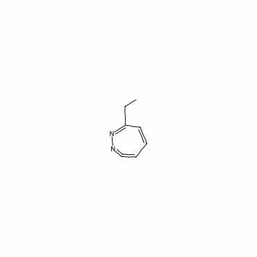 CCC1=NN=C=CC=C1